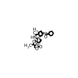 CC(C)C1COC(=O)N1c1ccnc(N[C@@H](C)c2ccc(NC(=O)C3CCCCC3)cc2)n1